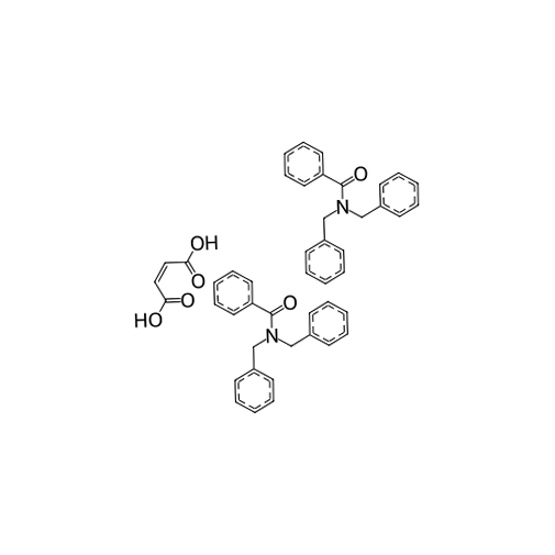 O=C(O)/C=C\C(=O)O.O=C(c1ccccc1)N(Cc1ccccc1)Cc1ccccc1.O=C(c1ccccc1)N(Cc1ccccc1)Cc1ccccc1